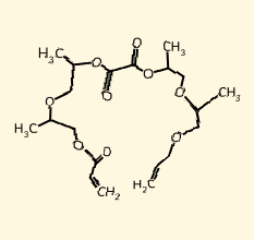 C=CCOCC(C)OCC(C)OC(=O)C(=O)OC(C)COC(C)COC(=O)C=C